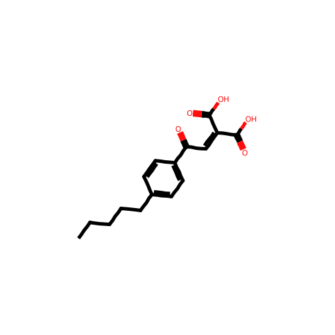 CCCCCc1ccc(C(=O)C=C(C(=O)O)C(=O)O)cc1